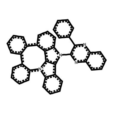 c1ccc(-c2nc3ccccc3nc2-n2c3cccc4c5ccccc5c5ccccc5n5c6ccccc6c2c5c43)cc1